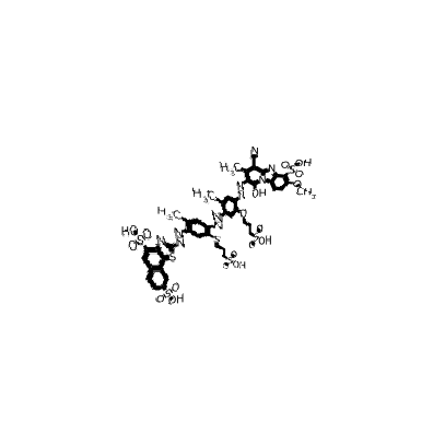 COc1ccc2c(nc3c(C#N)c(C)c(N=Nc4cc(C)c(N=Nc5cc(C)c(N=Nc6nc7c(S(=O)(=O)O)cc8ccc(S(=O)(=O)O)cc8c7s6)cc5SCCCS(=O)(=O)O)cc4OCCCS(=O)(=O)O)c(O)n32)c1S(=O)(=O)O